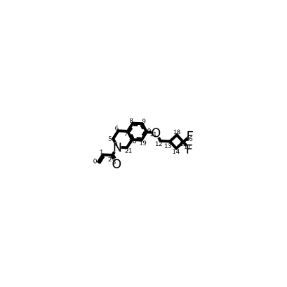 C=CC(=O)N1CCc2ccc(OCC3CC(F)(F)C3)cc2C1